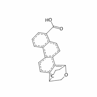 O=C(O)c1cccc2c1ccc1c3c(ccc12)=C1CCCC=3OC1